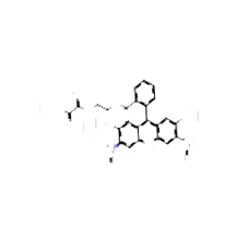 C=C(C)C(=O)OCCOC(=O)c1ccccc1-c1c2cc(C)/c(=N/CC)cc-2oc2cc(NCC)c(C)cc12